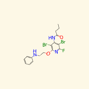 CCCC(=O)Nc1c(Br)c(F)nc(OCCNc2ccccc2)c1Br